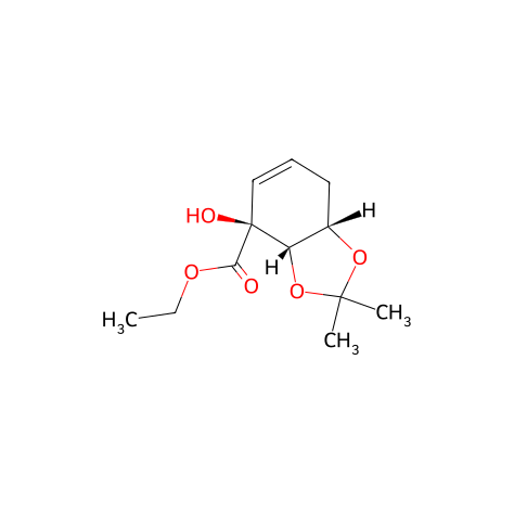 CCOC(=O)[C@]1(O)C=CC[C@@H]2OC(C)(C)O[C@@H]21